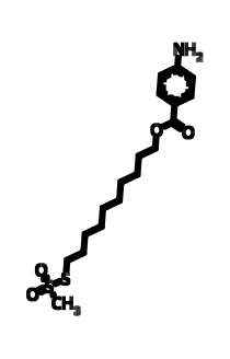 CS(=O)(=O)SCCCCCCCCCCOC(=O)c1ccc(N)cc1